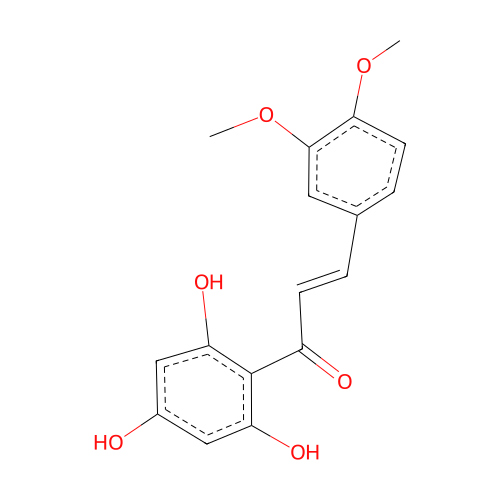 COc1ccc(C=CC(=O)c2c(O)cc(O)cc2O)cc1OC